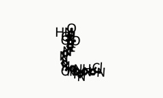 N#Cc1ccc(N2CCc3c(ncnc3Nc3ccc(C(=O)N4CCC(CN5CCN(c6cc7c(cc6F)C(=O)N(C6CCC(=O)NC6=O)C7=O)CC5)CC4)nn3)C2)cc1Cl